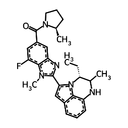 CC[C@@H]1C(C)Nc2cccc3cc(-c4nc5cc(C(=O)N6CCC[C@H]6C)cc(F)c5n4C)n1c23